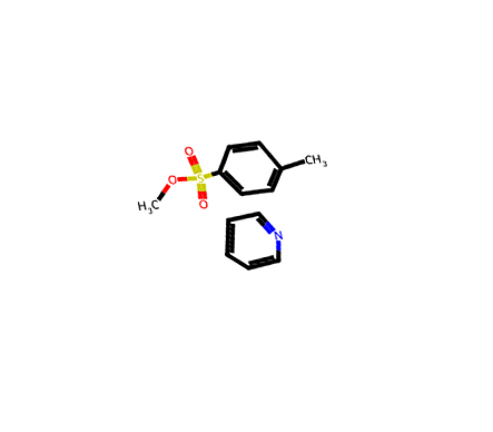 COS(=O)(=O)c1ccc(C)cc1.c1ccncc1